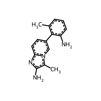 Cc1cccc(N)c1-c1ccc2nc(N)c(C)n2c1